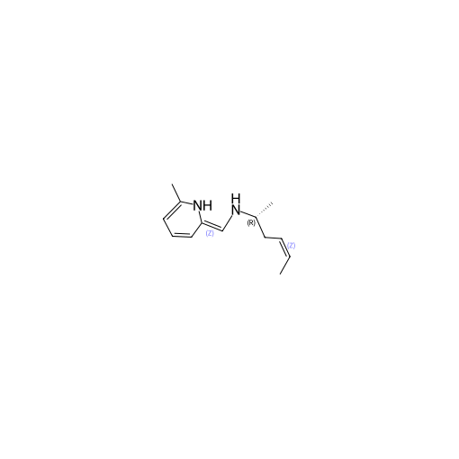 C/C=C\C[C@@H](C)N/C=C1/C=CC=C(C)N1